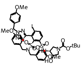 COc1ccc(CN(Cc2ccc(OC)cc2)S(=O)(=O)c2c(S(=O)(=O)N[C@H]3CN(C(=O)OC(C)(C)C)C[C@H]3O)ccc(I)c2-c2nnn(Cc3ccc(OC)cc3)n2)cc1